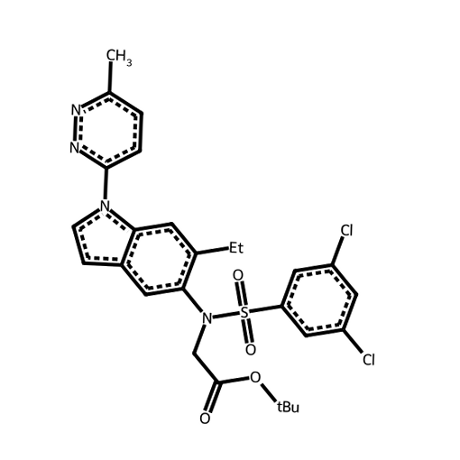 CCc1cc2c(ccn2-c2ccc(C)nn2)cc1N(CC(=O)OC(C)(C)C)S(=O)(=O)c1cc(Cl)cc(Cl)c1